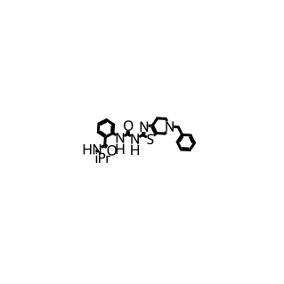 CC(C)NC(=O)c1ccccc1NC(=O)Nc1nc2c(s1)CN(Cc1ccccc1)CC2